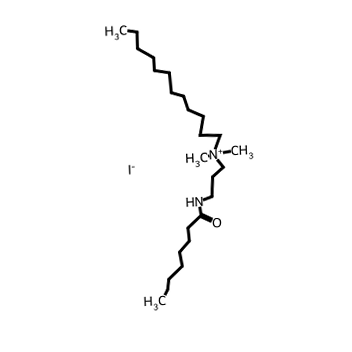 CCCCCCCCCCCC[N+](C)(C)CCCNC(=O)CCCCCCC.[I-]